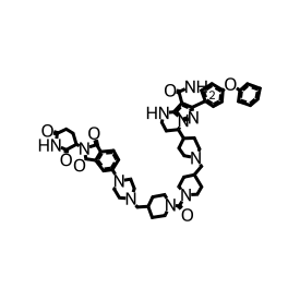 NC(=O)c1c(-c2ccc(Oc3ccccc3)cc2)nn2c1NCCC2C1CCN(CC2CCN(C(=O)N3CCC(CN4CCN(c5ccc6c(c5)C(=O)N(C5CCC(=O)NC5=O)C6=O)CC4)CC3)CC2)CC1